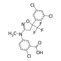 CN(C1=NOC(c2cc(Cl)cc(Cl)c2)(C(F)(F)F)C1)c1ccc(Cl)c(C(=O)O)c1